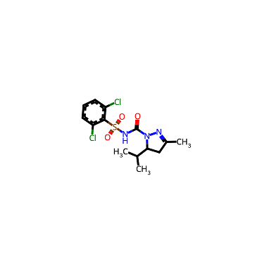 CC1=NN(C(=O)NS(=O)(=O)c2c(Cl)cccc2Cl)C(C(C)C)C1